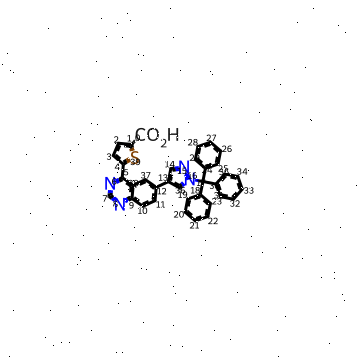 O=C(O)c1ccc(-c2ncnc3ccc(-c4cnn(C(c5ccccc5)(c5ccccc5)c5ccccc5)c4)cc23)s1